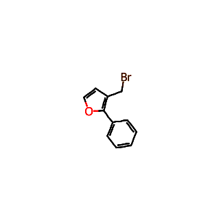 BrCc1ccoc1-c1ccccc1